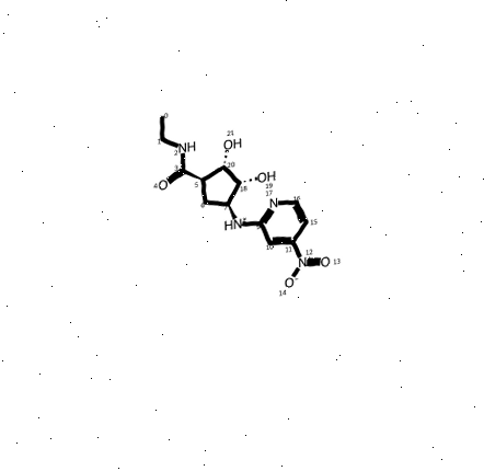 CCNC(=O)[C@@H]1C[C@H](Nc2cc([N+](=O)[O-])ccn2)[C@@H](O)[C@H]1O